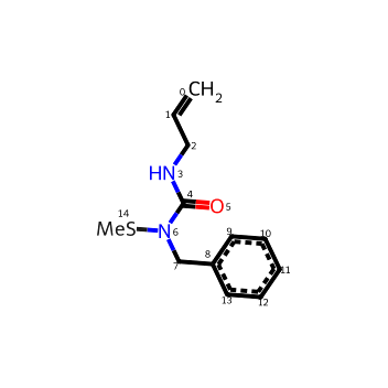 C=CCNC(=O)N(Cc1ccccc1)SC